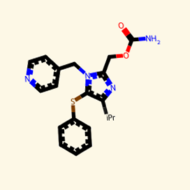 CC(C)c1nc(COC(N)=O)n(Cc2ccncc2)c1Sc1ccccc1